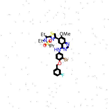 CCC(c1nc(-c2cc3c(Nc4ccc(OCc5cccc(F)c5)c(Br)c4)ncnc3cc2OC)cs1)N(CC)S(=O)(=O)C(C)C